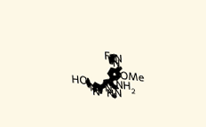 COc1cc(-c2cc(-c3cnn(CCO)c3)n3ncnc(N)c23)ccc1Cn1cc(F)cn1